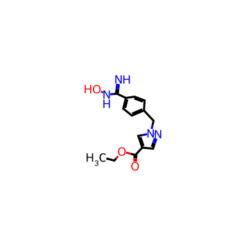 CCOC(=O)c1cnn(Cc2ccc(C(=N)NO)cc2)c1